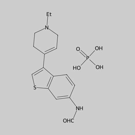 CCN1CC=C(c2csc3cc(NC=O)ccc23)CC1.O=P(O)(O)O